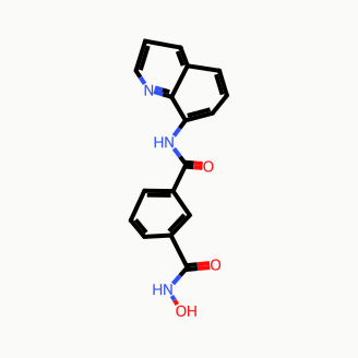 O=C(NO)c1cccc(C(=O)Nc2cccc3cccnc23)c1